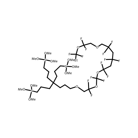 CCC(F)(F)OC(F)(F)COCC(F)(F)CC(F)(F)CC(F)(F)OC(F)(F)OC(F)(F)COCCCC(CCC[Si](OC)(OC)OC)(CCC[Si](OC)(OC)OC)CCC[Si](OC)(OC)OC